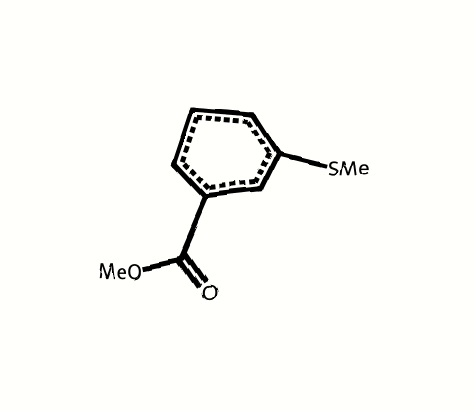 COC(=O)c1cccc(SC)c1